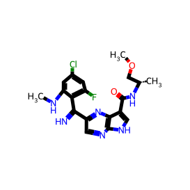 CNc1cc(Cl)cc(F)c1C(=N)c1cnc2[nH]cc(C(=O)N[C@@H](C)COC)c2n1